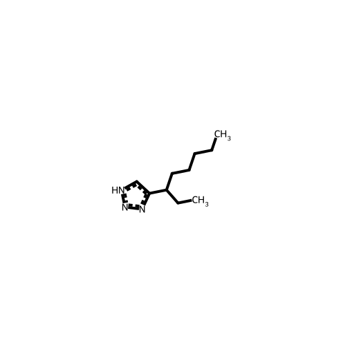 CCCCCC(CC)c1c[nH]nn1